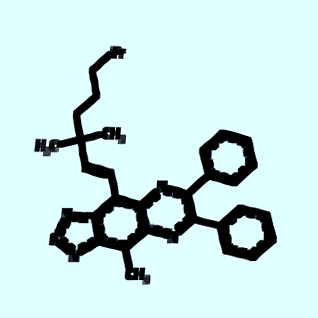 Cc1c2nsnc2c(/C=C/C(C)(C)CCCC(C)C)c2nc(-c3ccccc3)c(-c3ccccc3)nc12